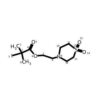 CC(C)(I)C(=O)OCCN1CCS(=O)(=O)CC1